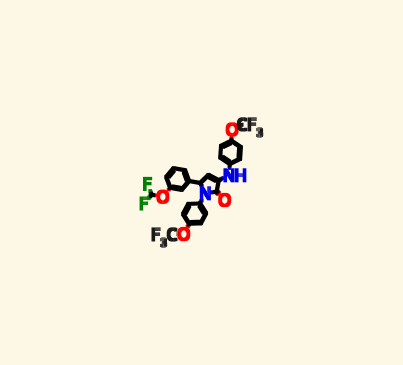 O=C1C(Nc2ccc(OC(F)(F)F)cc2)=CC(c2cccc(OC(F)F)c2)N1c1ccc(OC(F)(F)F)cc1